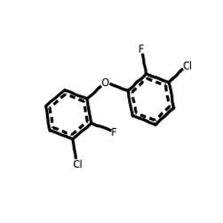 Fc1c(Cl)cccc1Oc1cccc(Cl)c1F